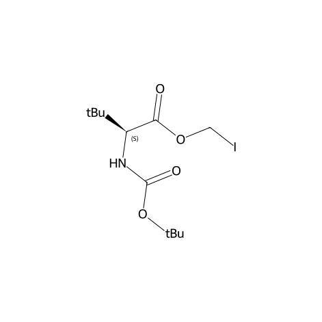 CC(C)(C)OC(=O)N[C@H](C(=O)OCI)C(C)(C)C